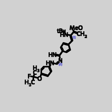 C=C(OC)/C(=C/c1ccc(C(=N)/N=C\Nc2ccc(OC(C)(C)F)cc2)cc1)NC(C)(C)C